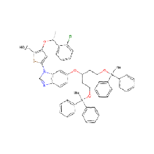 C[C@@H](Oc1cc(-n2cnc3ccc(OC(CCO[Si](c4ccccc4)(c4ccccc4)C(C)(C)C)CCO[Si](c4ccccc4)(c4ccccc4)C(C)(C)C)cc32)sc1C(=O)O)c1ccccc1Cl